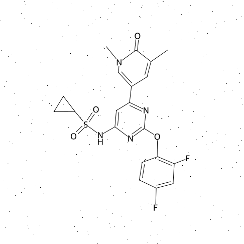 Cc1cc(-c2cc(NS(=O)(=O)C3CC3)nc(Oc3ccc(F)cc3F)n2)cn(C)c1=O